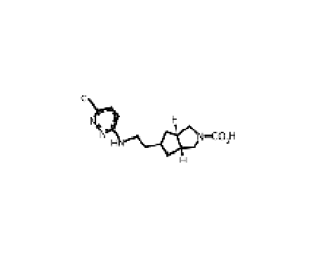 O=C(O)N1C[C@H]2CC(CCNc3ccc(Cl)nn3)C[C@H]2C1